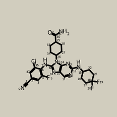 N#Cc1cc(F)c(Nc2nc3cnc(NC4CCC(F)(F)CC4)nc3n2C2CCC(C(N)=O)CC2)c(Cl)c1